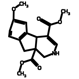 COC(=O)C1=CNCC2(C(=O)OC)Cc3ccc(OC)cc3C12